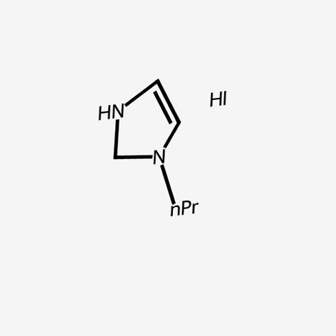 CCCN1C=CNC1.I